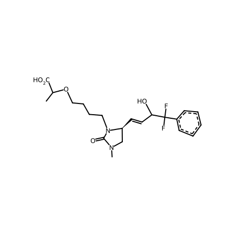 CC(OCCCCN1C(=O)N(C)C[C@@H]1/C=C/C(O)C(F)(F)c1ccccc1)C(=O)O